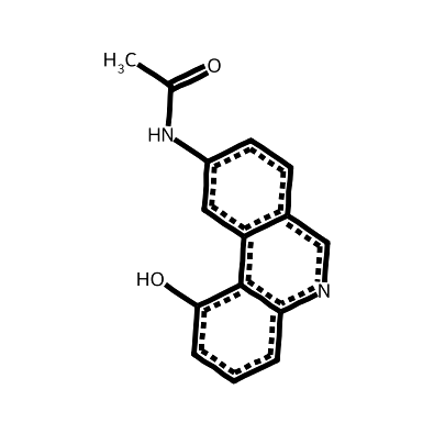 CC(=O)Nc1ccc2cnc3cccc(O)c3c2c1